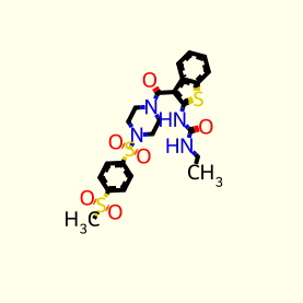 CCNC(=O)Nc1sc2ccccc2c1C(=O)N1CCN(S(=O)(=O)c2ccc(S(C)(=O)=O)cc2)CC1